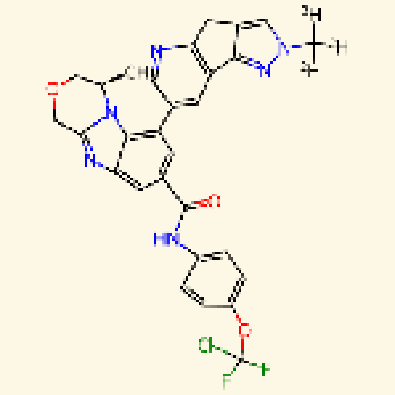 [2H]C([2H])([2H])n1cc2c(n1)-c1cc(-c3cc(C(=O)Nc4ccc(OC(F)(F)Cl)cc4)cc4nc5n(c34)[C@H](C)COC5)cnc1C2